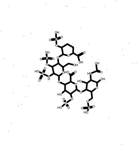 O=C(O)NC1C(O)OC(COS(=O)(=O)O)C(OC2OC(C(=O)O)C(OC3OC(CO)C(OC4OC(C(=O)O)CCC4OS(=O)(=O)O)C(OS(=O)(=O)O)C3NS(=O)(=O)O)C(O)C2OS(=O)(=O)O)C1O